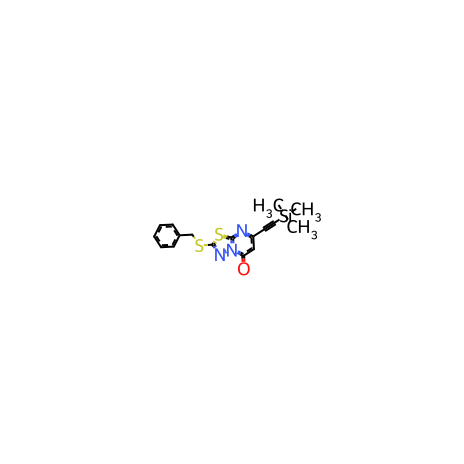 C[Si](C)(C)C#Cc1cc(=O)n2nc(SCc3ccccc3)sc2n1